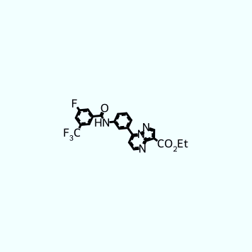 CCOC(=O)c1cnn2c(-c3cccc(NC(=O)c4cc(F)cc(C(F)(F)F)c4)c3)ccnc12